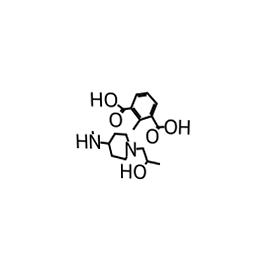 CNC1CCN(CC(C)O)CC1.Cc1c(C(=O)O)cccc1C(=O)O